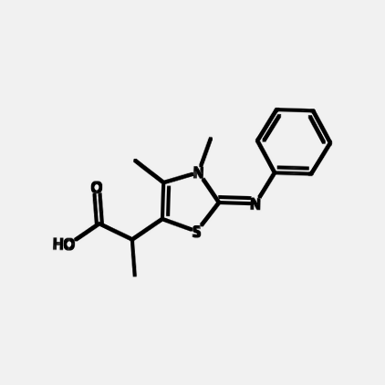 Cc1c(C(C)C(=O)O)s/c(=N/c2ccccc2)n1C